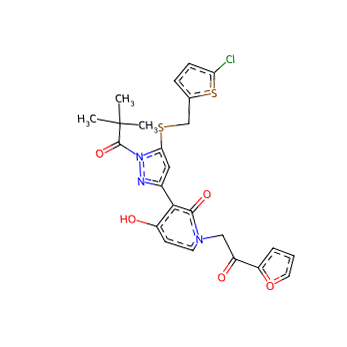 CC(C)(C)C(=O)n1nc(-c2c(O)ccn(CC(=O)c3ccco3)c2=O)cc1SCc1ccc(Cl)s1